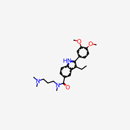 CCc1c(-c2ccc(OC)c(OC)c2)[nH]c2ccc(C(=O)N(C)CCCN(C)C)cc12